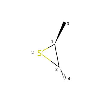 C[C@@H]1S[C@H]1C